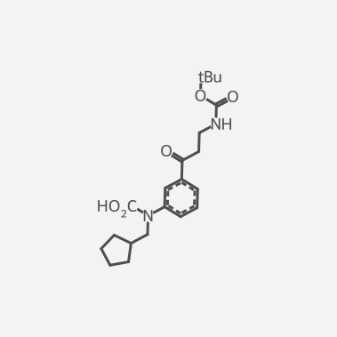 CC(C)(C)OC(=O)NCCC(=O)c1cccc(N(CC2CCCC2)C(=O)O)c1